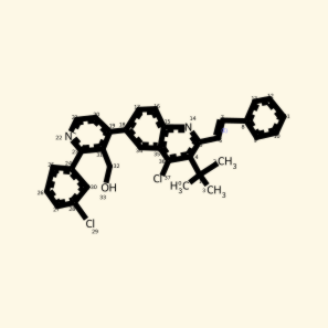 CC(C)(C)c1c(/C=C/c2ccccc2)nc2ccc(-c3ccnc(-c4cccc(Cl)c4)c3CO)cc2c1Cl